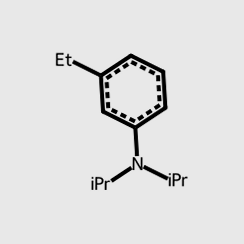 CCc1cccc(N(C(C)C)C(C)C)c1